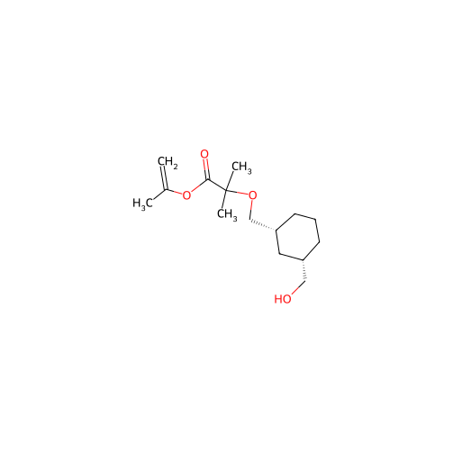 C=C(C)OC(=O)C(C)(C)OC[C@@H]1CCC[C@H](CO)C1